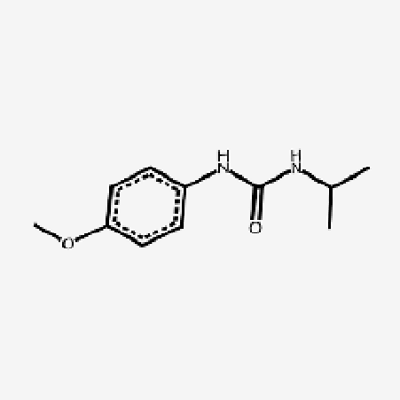 COc1ccc(NC(=O)NC(C)C)cc1